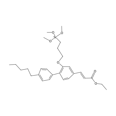 CCCCCc1ccc(-c2ccc(/C=C/C(=O)OCC)cc2OCCC[Si](OC)(OC)OC)cc1